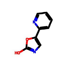 Oc1ncc(-c2ccccn2)o1